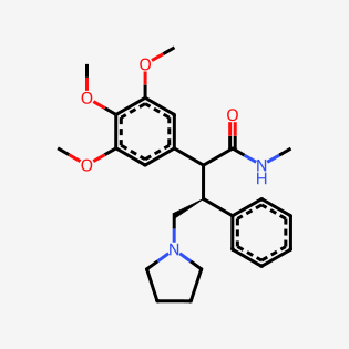 CNC(=O)C(c1cc(OC)c(OC)c(OC)c1)[C@H](CN1CCCC1)c1ccccc1